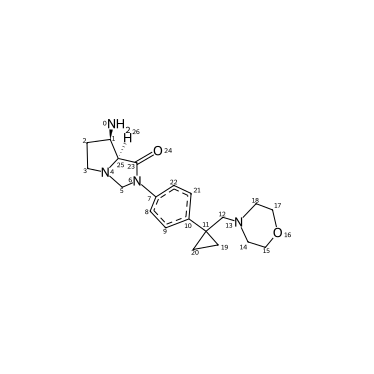 N[C@@H]1CCN2CN(c3ccc(C4(CN5CCOCC5)CC4)cc3)C(=O)[C@H]12